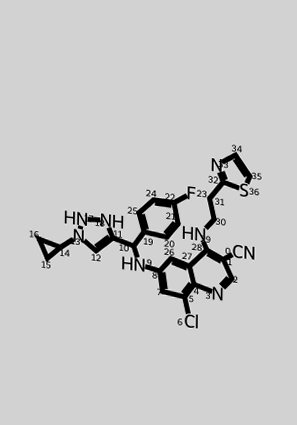 N#Cc1cnc2c(Cl)cc(NC(C3=CN(C4CC4)NN3)c3ccc(F)cc3)cc2c1NCCc1nccs1